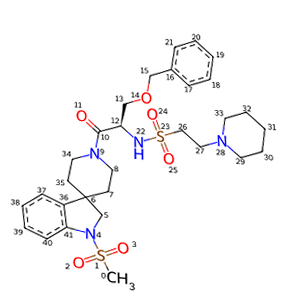 CS(=O)(=O)N1CC2(CCN(C(=O)[C@@H](COCc3ccccc3)NS(=O)(=O)CCN3CCCCC3)CC2)c2ccccc21